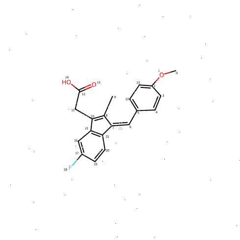 COc1ccc(/C=C2\C(C)=C(CC(=O)O)c3cc(F)ccc32)cc1